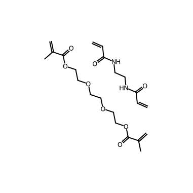 C=C(C)C(=O)OCCOCCOCCOC(=O)C(=C)C.C=CC(=O)NCCNC(=O)C=C